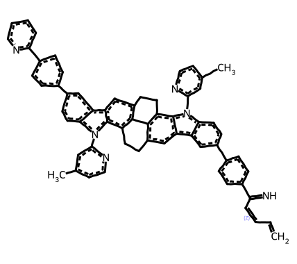 C=C/C=C\C(=N)c1ccc(-c2ccc3c(c2)c2cc4c5c(c2n3-c2cc(C)ccn2)CCc2cc3c6cc(-c7ccc(-c8ccccn8)cc7)ccc6n(-c6cc(C)ccn6)c3c(c2-5)CC4)cc1